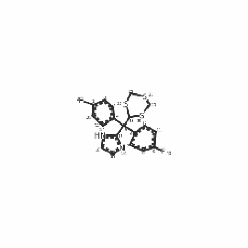 Fc1ccc(C(c2ccc(F)cc2)(c2ncc[nH]2)C2SCSCS2)cc1